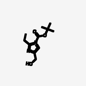 CCc1nc(CO)cn1C(=O)OC(C)(C)C